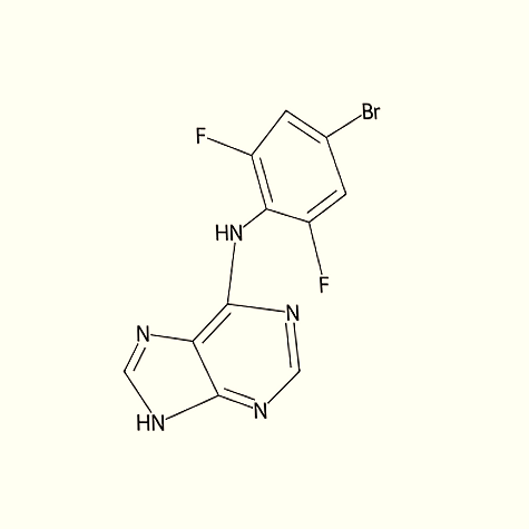 Fc1cc(Br)cc(F)c1Nc1ncnc2[nH]cnc12